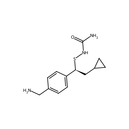 NCc1ccc([C@H](CC2CC2)SNC(N)=O)cc1